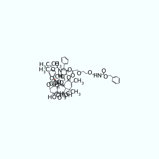 CC(=O)O[C@@]12COC1C[C@H](O)[C@@]1(C)C(=O)[C@H](O)C3C(C)(C)C=C(C)[C@@H](OC(=O)[C@H](OC(=O)COCCOCCNC(=O)OCc4ccccc4)[C@@H](NC(=O)OC(C)(C)C)c4ccccc4)C[C@@]3(O)[C@@H](OC(=O)c3ccccc3)[C@@H]12